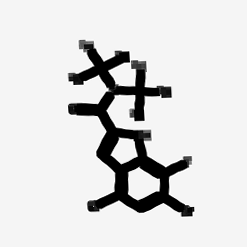 [2H]C([2H])([2H])N(C(=O)c1cc2c(Cl)cc(Br)c(F)c2[nH]1)C([2H])([2H])[2H]